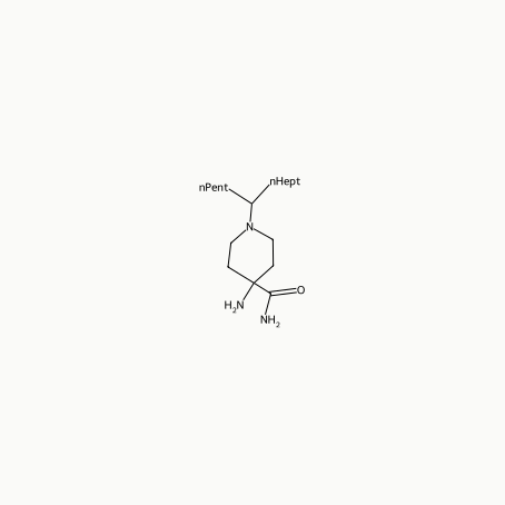 CCCCCCCC(CCCCC)N1CCC(N)(C(N)=O)CC1